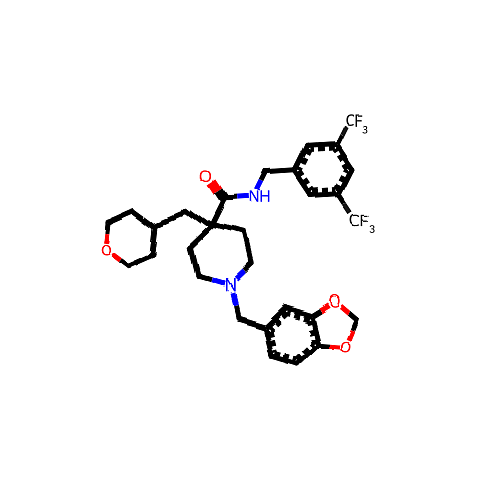 O=C(NCc1cc(C(F)(F)F)cc(C(F)(F)F)c1)C1(CC2CCOCC2)CCN(Cc2ccc3c(c2)OCO3)CC1